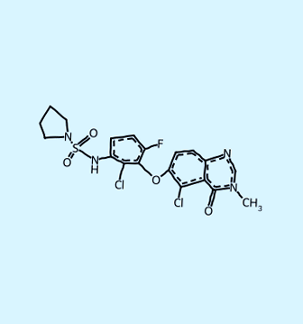 Cn1cnc2ccc(Oc3c(F)ccc(NS(=O)(=O)N4CCCC4)c3Cl)c(Cl)c2c1=O